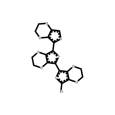 CCc1sc(-c2sc(-c3scc4c3OCCO4)c3c2OCCO3)c2c1OCCO2